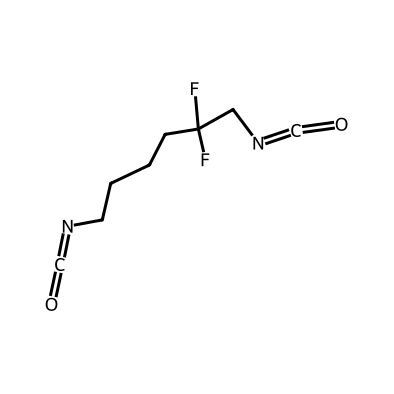 O=C=NCCCCC(F)(F)CN=C=O